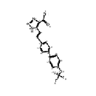 O=C(O)c1nn[nH]c1C=Cc1ccc(-c2ccc(OC(F)(F)F)cc2)cc1